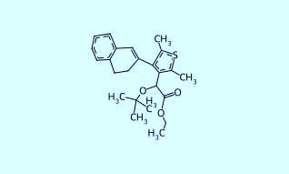 CCOC(=O)C(OC(C)(C)C)c1c(C)sc(C)c1C1=Cc2ccccc2CC1